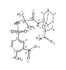 Cc1ccc(S(=O)(=O)NC(C)(C)C(=O)NC23CC4CC(C2)CC(C(N)=O)(C4)C3)cc1[N+](=O)[O-]